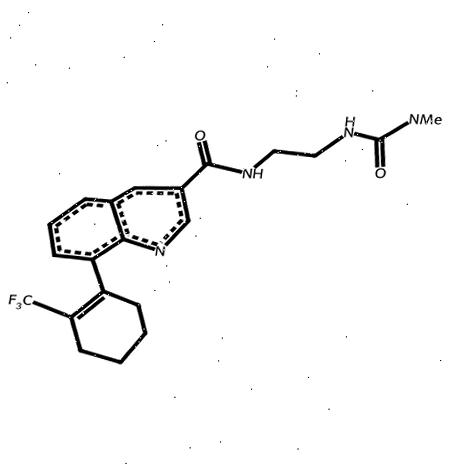 CNC(=O)NCCNC(=O)c1cnc2c(C3=C(C(F)(F)F)CCCC3)cccc2c1